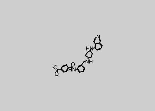 COC(=O)c1ccc(C(=O)Nc2cccc(CNC3CCC(Nc4cccc5cnccc45)CC3)c2)cc1